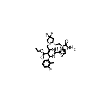 CCOC(=O)C1=C(CN2CC(F)(F)C[C@@H]2CCNC(N)=O)NC(c2nccs2)=N[C@H]1c1cccc(F)c1C